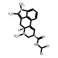 CCC(CC)NC(=O)[C@@H]1C=C2c3cccc4c3c(c(C(F)(F)F)n4C)C[C@H]2N(C)C1